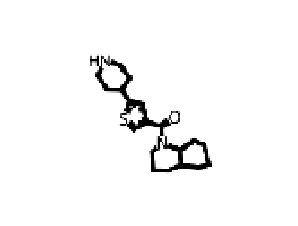 O=C(c1csc(C2CCNCC2)c1)N1CCCC2CCCCC21